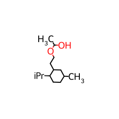 CC1CCC(C(C)C)C(CCOC(C)O)C1